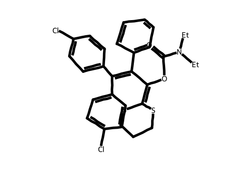 CCN(CC)C(=O)OC(=C1SCCCS1)C(=C(c1ccc(Cl)cc1)c1ccc(Cl)cc1)c1ccccc1